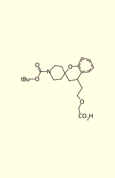 CC(C)(C)OC(=O)N1CCC2(CC1)CC(CCOCC(=O)O)c1ccccc1O2